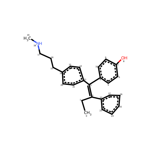 CCC(=C(c1ccc(O)cc1)c1ccc(CCCNC)cc1)c1ccccc1